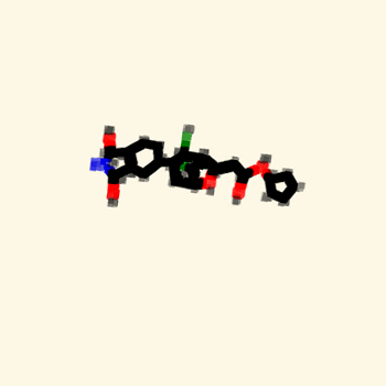 O=C(C=c1oc2cc(C3CCC4=C(C3)C(=O)NC4=O)c(F)c1c2Cl)OC1CCCC1